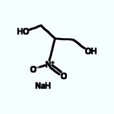 O=[N+]([O-])C(CO)CO.[NaH]